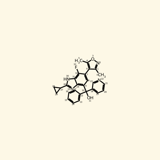 Cc1noc(C)c1-c1cc(C(O)(c2ccccc2)c2cccnc2)c2nc(C3CC3)[nH]c2c1F